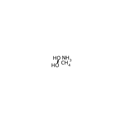 C.N.OO